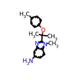 Cc1ccc(OC(C)(C)c2nc3cc(N)ccc3n2C)cc1